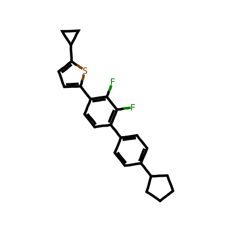 Fc1c(-c2ccc(C3CCCC3)cc2)ccc(-c2ccc(C3CC3)s2)c1F